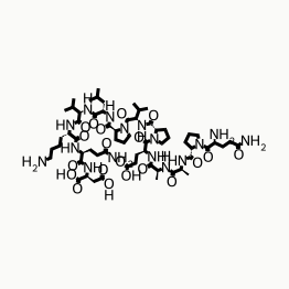 CC(C)C[C@H](NC(=O)[C@@H]1CCCN1C(=O)[C@@H](NC(=O)[C@@H]1CCCN1C(=O)[C@H](CCC(=O)O)NC(=O)[C@H](C)NC(=O)[C@H](C)NC(=O)[C@@H]1CCCN1C(=O)[C@@H](N)CCC(N)=O)C(C)C)C(=O)N[C@H](C(=O)N[C@@H](CCCCN)C(=O)N[C@@H](CCC(N)=O)C(=O)N[C@@H](CC(=O)O)C(=O)O)C(C)C